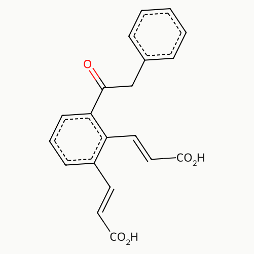 O=C(O)C=Cc1cccc(C(=O)Cc2ccccc2)c1C=CC(=O)O